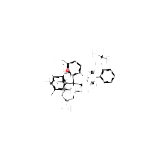 CNC(=O)[C@@H]1C[C@@H](O)C[N+]1(C)C1(c2cc(C)ccc2OC)C(=O)N(S(=O)(=O)c2ccccc2OC(F)(F)F)c2ccc(Cl)cc21